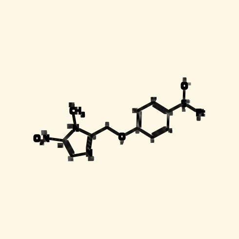 CC[S+]([O-])c1ccc(OCc2ncc([N+](=O)[O-])n2C)cc1